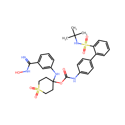 CC(C)(C)NS(=O)(=O)c1ccccc1-c1ccc(NC(=O)OC2(Nc3cccc(C(=N)NO)c3)CCS(=O)(=O)CC2)cc1